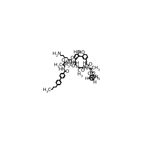 CCCCc1ccc(-c2ccc(C(=O)NC[C@@H](C)C(=O)N[C@@H](CCCCN)C(=O)N(C)[C@@H]3C(=O)N[C@@H](C)C(=O)N[C@H](C(=O)N[C@@H](C)B4OC5C[C@@H]6C[C@H](C5O4)C6(C)C)CC4=CCC(O)C(=C4)c4cc3ccc4O)cc2)cc1